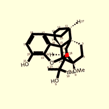 CO[C@]12CC[C@@]3(C[C@@H]1C(C)(O)C(C)(C)C)[C@@H]1CCC[C@@]34c3c(ccc(O)c3O[C@@H]24)C1